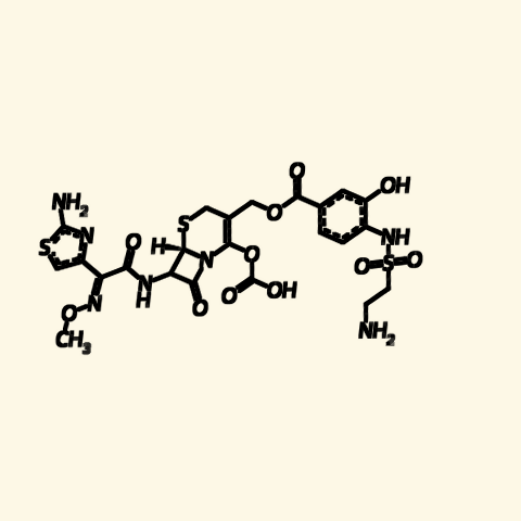 CON=C(C(=O)NC1C(=O)N2C(OC(=O)O)=C(COC(=O)c3ccc(NS(=O)(=O)CCN)c(O)c3)CS[C@@H]12)c1csc(N)n1